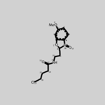 COc1ccc2c(c1)OC(CCNC(=O)CCCCl)[N+]2=O